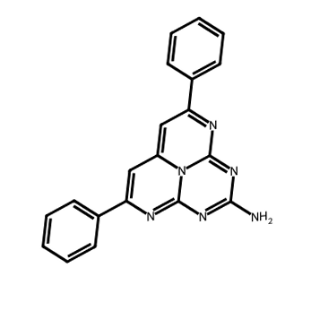 NC1=NC2=NC(c3ccccc3)=CC3=CC(c4ccccc4)=NC(=N1)N32